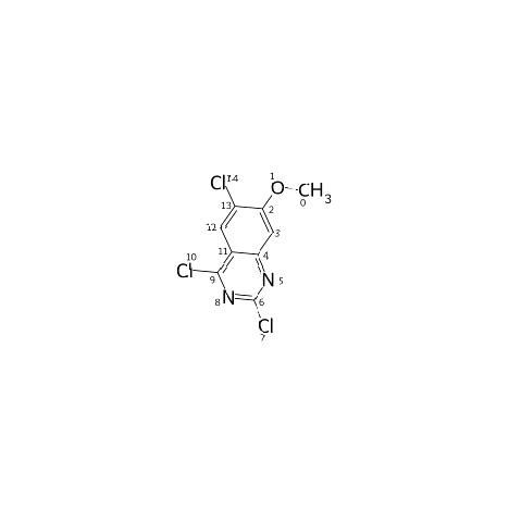 COc1cc2nc(Cl)nc(Cl)c2cc1Cl